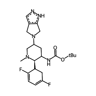 CN1CC(N2Cc3cn[nH]c3C2)CC(NC(=O)OC(C)(C)C)[C@H]1C1CC(F)=CC=C1F